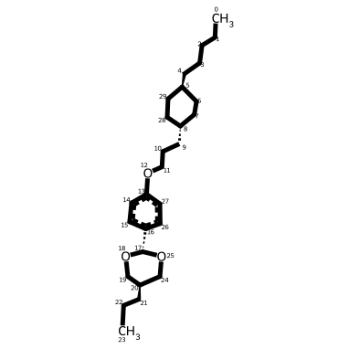 CCCCC[C@H]1CC[C@H](CCCOc2ccc([C@H]3OC[C@H](CCC)CO3)cc2)CC1